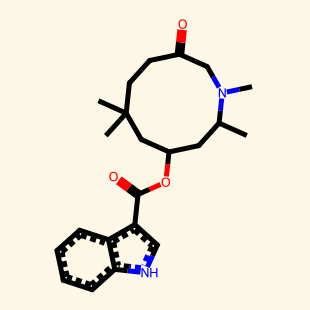 CC1CC(OC(=O)c2c[nH]c3ccccc23)CC(C)(C)CCC(=O)CN1C